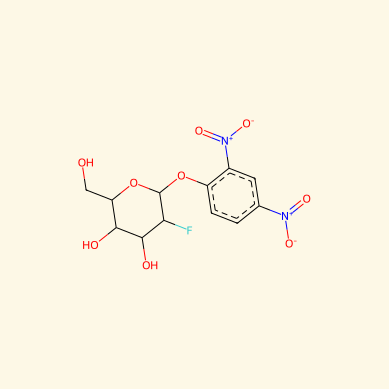 O=[N+]([O-])c1ccc(OC2OC(CO)C(O)C(O)C2F)c([N+](=O)[O-])c1